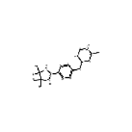 C[C@H]1CN(Cc2ccc(B3OC(C)(C)C(C)(C)O3)cc2)CCO1